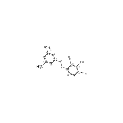 Cc1cc(C)cc([CH]Cc2ccc(F)c(F)c2F)c1